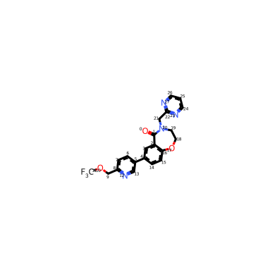 O=C1c2cc(-c3ccc(COC(F)(F)F)nc3)ccc2OCCN1Cc1ncccn1